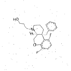 OCCCN1CCC[C@@]2(Cc3ccccc3)c3c(F)ccc(F)c3OC[C@@H]12